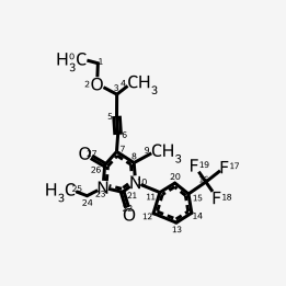 CCOC(C)C#Cc1c(C)n(-c2cccc(C(F)(F)F)c2)c(=O)n(CC)c1=O